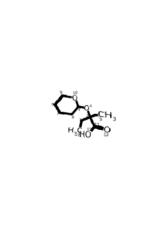 CCC(C)(OC1CCCCO1)C(=O)O